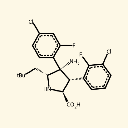 CC(C)(C)C[C@H]1N[C@H](C(=O)O)[C@@H](c2cccc(Cl)c2F)[C@]1(N)c1ccc(Cl)cc1F